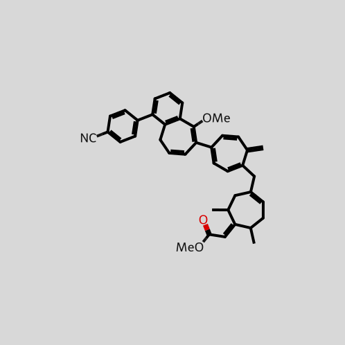 C=C1C=CC(C2=C(OC)c3cccc(-c4ccc(C#N)cc4)c3CC=C2)=CC=C1CC1=CCC(C)/C(=C/C(=O)OC)C(C)C1